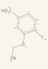 N#CCOc1cc(C(=O)O)ccc1I